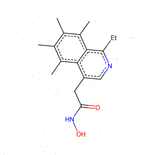 CCc1ncc(CC(=O)NO)c2c(C)c(C)c(C)c(C)c12